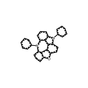 c1ccc(-n2c3cccc4oc5ccc6c(c5c43)c3c2cccc3n6-c2ccccc2)cc1